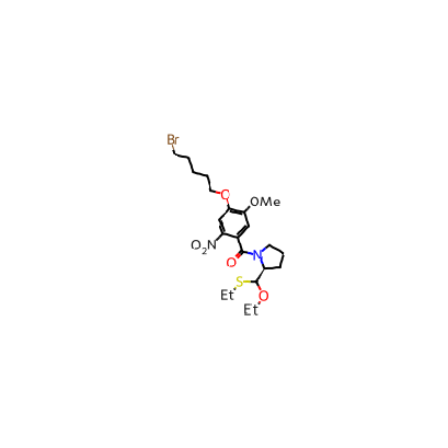 CCOC(SCC)[C@@H]1CCCN1C(=O)c1cc(OC)c(OCCCCCBr)cc1[N+](=O)[O-]